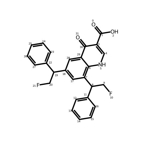 O=C(O)c1c[nH]c2c(C(CF)c3ccccc3)cc(C(CF)c3ccccc3)cc2c1=O